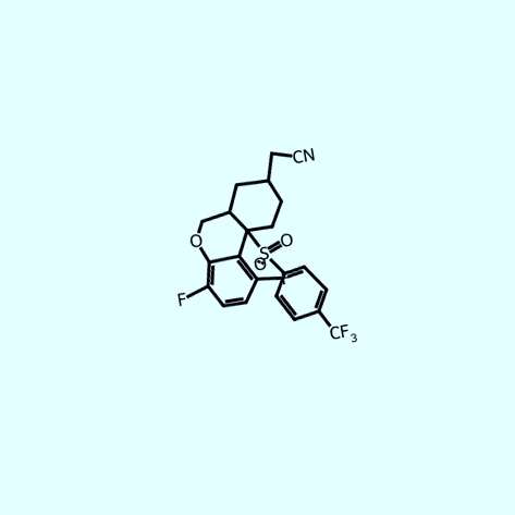 N#CCC1CCC2(S(=O)(=O)c3ccc(C(F)(F)F)cc3)c3c(F)ccc(F)c3OCC2C1